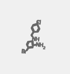 Nc1cc(Br)ccc1NCc1ccc(Cl)cc1